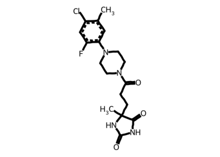 Cc1cc(N2CCN(C(=O)CCC3(C)NC(=O)NC3=O)CC2)c(F)cc1Cl